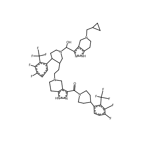 O=C(c1n[nH]c2c1CN(CCC1CN(C(O)c3n[nH]c4c3CN(CC3CC3)CC4)CCC1c1ccc(F)c(F)c1C(F)(F)F)CC2)N1CCC(c2ccc(F)c(F)c2C(F)(F)F)CC1